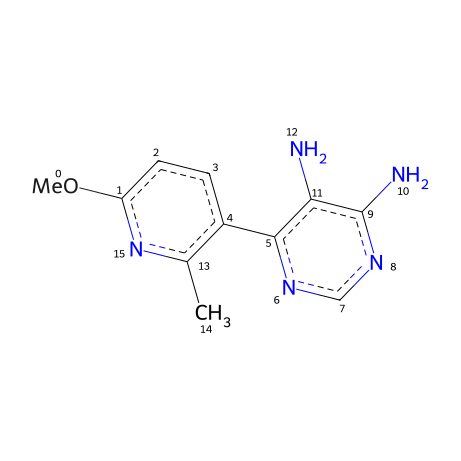 COc1ccc(-c2ncnc(N)c2N)c(C)n1